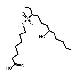 CCCCCC(O)CCCC(CC)S(=O)(=O)NCCCCCCC(=O)O